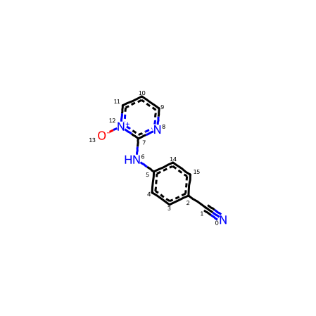 N#Cc1ccc(Nc2nccc[n+]2[O-])cc1